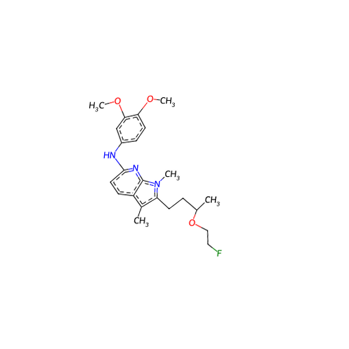 COc1ccc(Nc2ccc3c(C)c(CCC(C)OCCF)n(C)c3n2)cc1OC